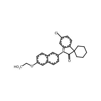 O=C(O)COc1ccc2cc(NC(=O)C3(c4ccc(Cl)cc4)CCCCC3)ccc2c1